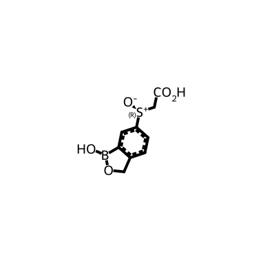 O=C(O)C[S@+]([O-])c1ccc2c(c1)B(O)OC2